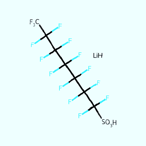 O=S(=O)(O)C(F)(F)C(F)(F)C(F)(F)C(F)(F)C(F)(F)C(F)(F)C(F)(F)F.[LiH]